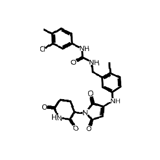 Cc1ccc(NC(=O)NCc2cc(NC3=CC(=O)N(C4CCC(=O)NC4=O)C3=O)ccc2C)cc1Cl